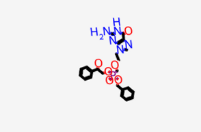 Nc1nc2c(ncn2CCOCP(=O)(OCC(=O)c2ccccc2)OCc2ccccc2)c(=O)[nH]1